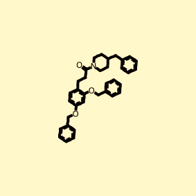 O=C(CCc1ccc(OCc2ccccc2)cc1OCc1ccccc1)N1CCC(Cc2ccccc2)CC1